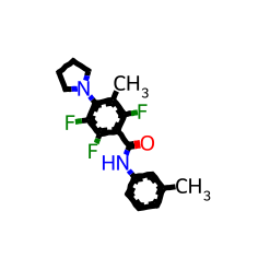 Cc1cccc(NC(=O)c2c(F)c(C)c(N3CCCC3)c(F)c2F)c1